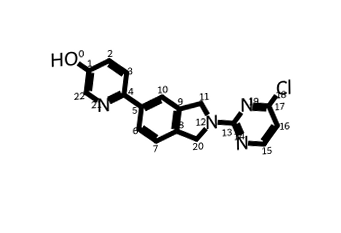 Oc1ccc(-c2ccc3c(c2)CN(c2nccc(Cl)n2)C3)nc1